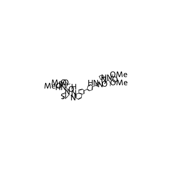 COC(=O)N[C@H](C(=O)N1CCC[C@H]1c1ncc(-c2ccc(-c3ccc4c(ccc5nc([C@@H]6C[Si](C)(C)CN6C(=O)[C@@H](NC(=O)OC)C(C)OC)[nH]c54)c3)cc2)[nH]1)C(C)OC